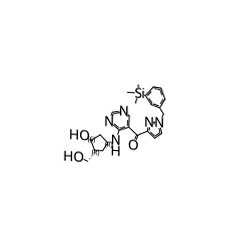 C[Si](C)(C)c1cccc(Cn2ccc(C(=O)c3cncnc3N[C@@H]3C[C@H](CO)[C@@H](O)C3)n2)c1